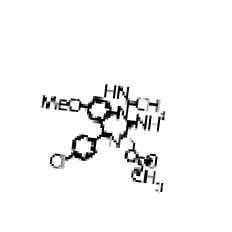 COc1ccc2c(c1)C(c1ccc(Cl)cc1)=N[C@@H](COS(C)=O)C(=N)N2C(C)=N